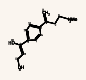 C=C(CCNC)c1ccc(/C(O)=C/CO)cc1